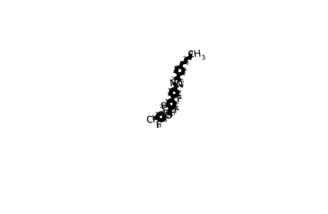 CCCCCC1CCC(c2cnc(-c3ccc(-c4cc(F)c(C(F)(F)Oc5ccc(Cl)c(F)c5)c(F)c4)c(F)c3)nc2)CC1